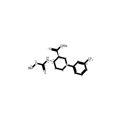 COC(=O)[C@H]1CN(c2cccc(C(F)(F)F)c2)CC[C@@H]1NC(=O)OC(C)(C)C